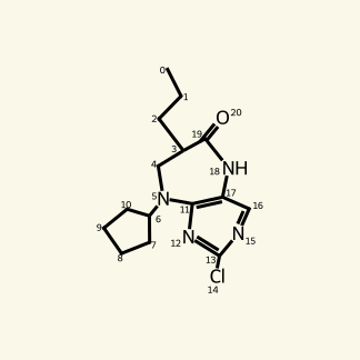 CCCC1CN(C2CCCC2)c2nc(Cl)ncc2NC1=O